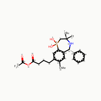 CCCC[C@]1(CC)CS(O)(O)c2cc(CCCC(=O)OC(=O)C(F)(F)F)c(OC)cc2[C@@H](c2ccccc2)N1